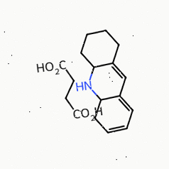 C1=CCC2NC3CCCCC3=CC2=C1.O=C(O)CCC(=O)O